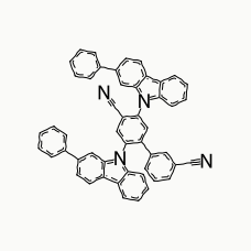 N#Cc1cccc(-c2cc(-n3c4ccccc4c4ccc(-c5ccccc5)cc43)c(C#N)cc2-n2c3ccccc3c3ccc(-c4ccccc4)cc32)c1